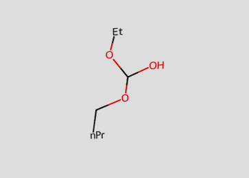 CCCCOC(O)OCC